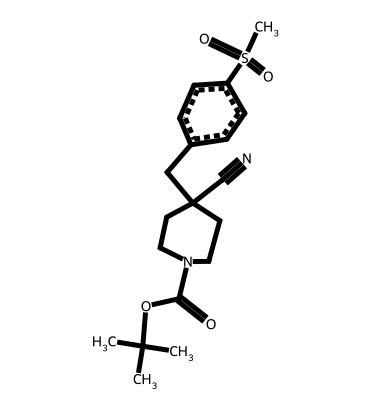 CC(C)(C)OC(=O)N1CCC(C#N)(Cc2ccc(S(C)(=O)=O)cc2)CC1